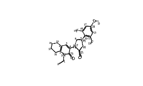 CCn1c2c(cc(N3C[C@@H](c4c(F)cc(OC)cc4F)CC3=O)c1=O)CCCC2